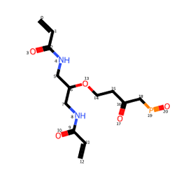 C=CC(=O)NCC(CNC(=O)C=C)OCCC(=O)CP=O